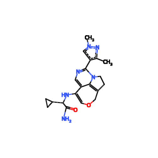 Cc1nn(C)cc1C1=NC=C2C(NC(C(N)=O)C3CC3)=COCC3=C2N1CC3